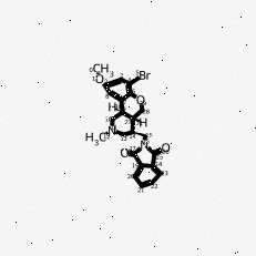 COc1cc(Br)c2c(c1)[C@@H]1CN(C)C[C@H](CN3C(=O)c4ccccc4C3=O)[C@H]1CO2